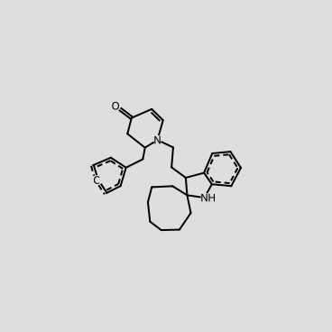 O=C1C=CN(CCC2c3ccccc3NC23CCCCCCC3)C(Cc2ccccc2)C1